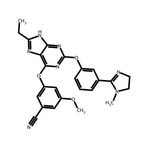 CCc1nc2c(Oc3cc(C#N)cc(OC)c3)nc(Oc3cccc(C4=NCCN4C)c3)nc2[nH]1